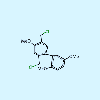 COc1ccc(OC)c(-c2cc(CCl)c(OC)cc2CCl)c1